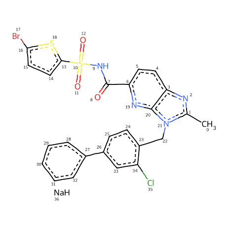 Cc1nc2ccc(C(=O)NS(=O)(=O)c3ccc(Br)s3)nc2n1Cc1ccc(-c2ccccc2)cc1Cl.[NaH]